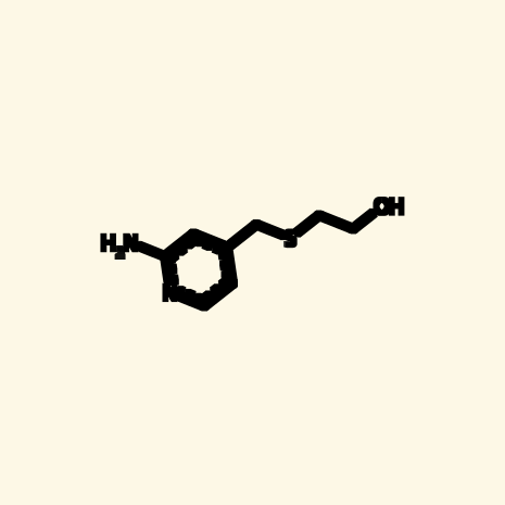 Nc1cc(CSCCO)ccn1